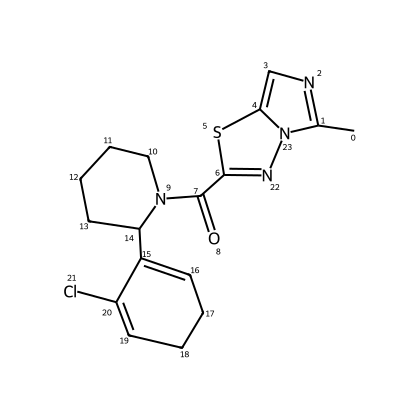 Cc1ncc2sc(C(=O)N3CCCCC3C3=CCCC=C3Cl)nn12